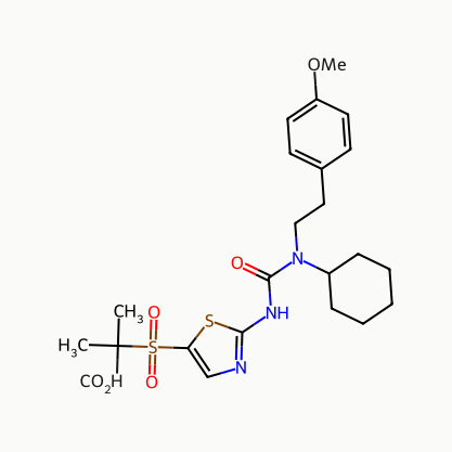 COc1ccc(CCN(C(=O)Nc2ncc(S(=O)(=O)C(C)(C)C(=O)O)s2)C2CCCCC2)cc1